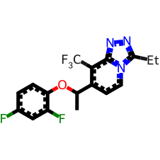 CCc1nnc2c(C(F)(F)F)c(C(C)Oc3ccc(F)cc3F)ccn12